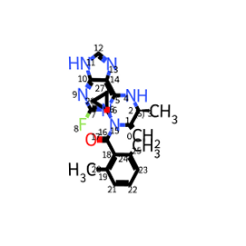 C=C([C@H](C)Nc1nc(F)nc2[nH]cnc12)N(C(=O)c1c(C)cccc1C)C1CC1